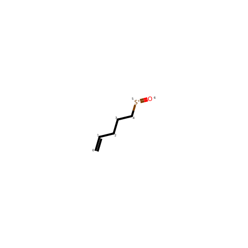 C=CCCC[S+]=O